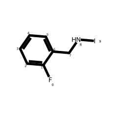 Fc1ccccc1CNI